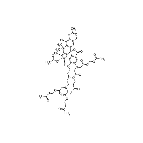 CC(=O)OCOC(=O)CN(CCOCCOc1cc2c(cc1N(CC(=O)OCOC(C)=O)CC(=O)OCOC(C)=O)C(=O)OC21c2cc(F)c(OC(C)=O)c(Cl)c2[Si](C)(C)c2c1cc(F)c(OC(C)=O)c2Cl)CC(=O)OCOC(C)=O